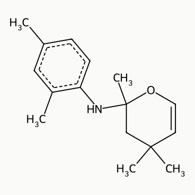 Cc1ccc(NC2(C)CC(C)(C)C=CO2)c(C)c1